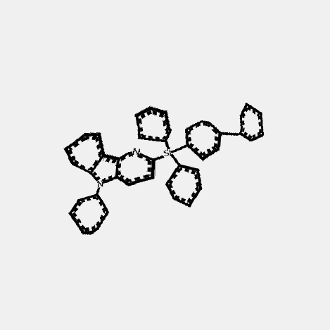 c1ccc(-c2ccc([Si](c3ccccc3)(c3ccccc3)c3ccc4c(n3)c3ccccc3n4-c3ccccc3)cc2)cc1